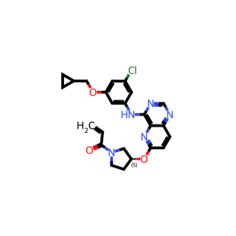 C=CC(=O)N1CC[C@H](Oc2ccc3ncnc(Nc4cc(Cl)cc(OCC5CC5)c4)c3n2)C1